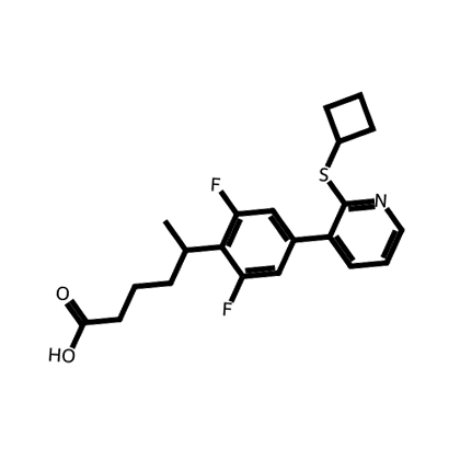 CC(CCCC(=O)O)c1c(F)cc(-c2cccnc2SC2CCC2)cc1F